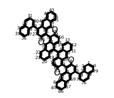 c1ccc2c(-c3cc4oc5c6ccccc6c(-c6c7ccccc7c7oc8cc(-c9cccc%10ccccc9%10)c9cc%10ccccc%10c%10oc%11ccc6c7c%11-c8c9%10)c6ccc7oc8c9ccccc9cc3c8c4-c7c65)cccc2c1